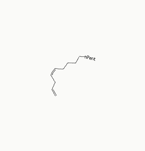 C=CC/C=C\CCCCCCCCC